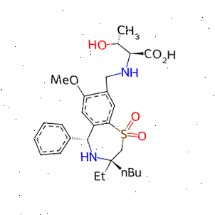 CCCC[C@]1(CC)CS(=O)(=O)c2cc(CN[C@H](C(=O)O)[C@@H](C)O)c(OC)cc2[C@@H](c2ccccc2)N1